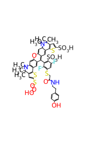 CN1c2cc3c(cc2-c2sc(SOOO)cc2C1(C)C)C(c1c(F)c(SCC(=O)NCCc2ccc(O)cc2)cc(F)c1S(=O)(=O)O)=c1cc2c(cc1O3)=[N+](C)C(C)(C)c1cc(S(=O)(=O)O)sc1-2